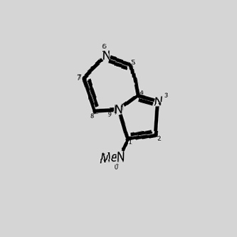 CNc1cnc2cnccn12